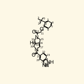 CC(C)(C)c1ccccc1OCC(=O)N1CC2=CN(C(=O)c3ccc4[nH]nnc4c3)C[C@@H]2C1